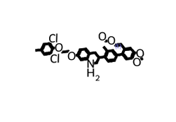 Cc1cc(Cl)c(OCCOc2ccc(CC(CN)c3ccc(-c4cc5c(cc4/C=C/OC=O)OCO5)cc3C)cc2)c(Cl)c1